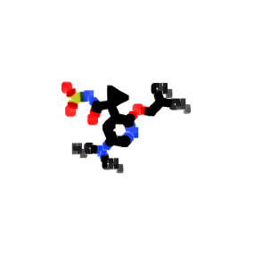 CC(C)COc1ncc(N(C)C)cc1C1(C(=O)N=S(=O)=O)CC1